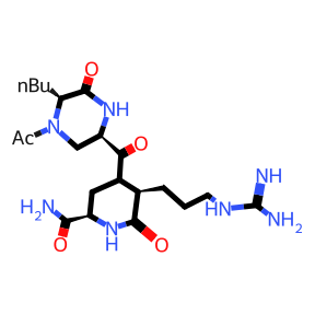 CCCC[C@H]1C(=O)N[C@@H](C(=O)C2C[C@H](C(N)=O)NC(=O)[C@@H]2CCCNC(=N)N)CN1C(C)=O